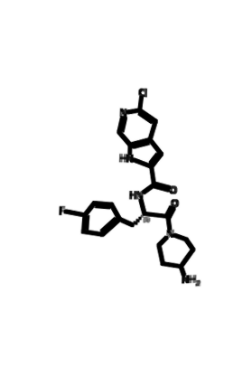 NC1CCN(C(=O)[C@H](Cc2ccc(F)cc2)NC(=O)c2cc3cc(Cl)ncc3[nH]2)CC1